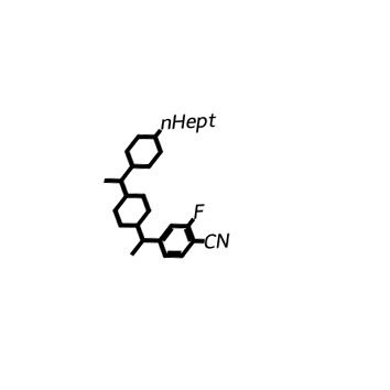 CCCCCCCC1CCC(C(C)C2CCC(C(C)c3ccc(C#N)c(F)c3)CC2)CC1